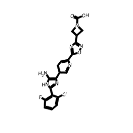 Nc1[nH]c(-c2c(F)cccc2Cl)nc1C1C=NC(c2nc(C3CN(C(=O)O)C3)no2)=CC1